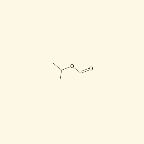 [CH2]C(C)OC=O